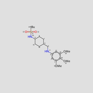 COc1cc(NCC2CCC(NS(=O)(=O)C(C)(C)C)CC2)cc(OC)c1OC